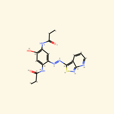 CCC(=O)Nc1cc(/N=N/c2snc3ncccc23)c(NC(=O)CC)cc1O